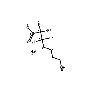 O=S([O-])C(F)(F)C(F)(F)CCCCO.[Na+]